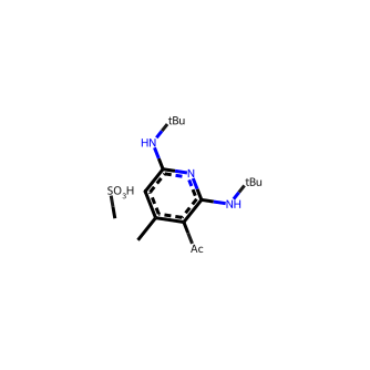 CC(=O)c1c(C)cc(NC(C)(C)C)nc1NC(C)(C)C.CS(=O)(=O)O